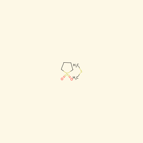 CSC.O=S1(=O)CCCC1